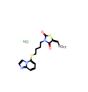 CCCCCCCCC=C1SC(=O)N(CCCCSc2cccc3nccn23)C1=O.Cl